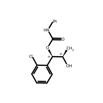 CC(C)NC(=O)O[C@H](c1ccccc1Cl)[C@@H](C)O